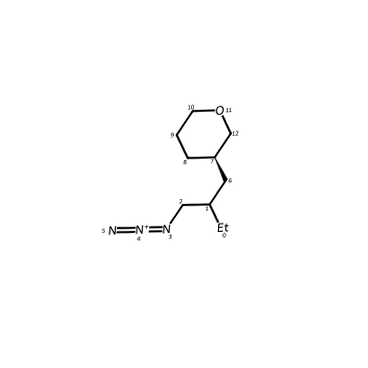 CCC(CN=[N+]=[N-])C[C@H]1CCCOC1